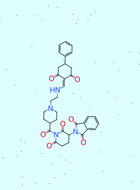 O=C1CC(c2ccccc2)CC(=O)C1=CNCCN1CCC(C(=O)N2C(=O)CCC(N3C(=O)c4ccccc4C3=O)C2=O)CC1